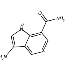 NC(=O)c1c[c]cc2c(N)c[nH]c12